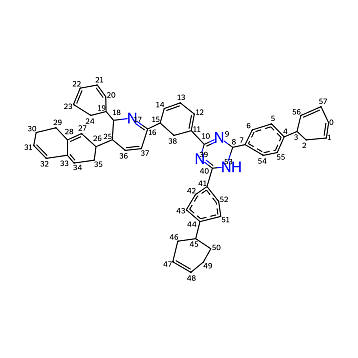 C1=CCC(c2ccc(C3N=C(C4=CC=CC(C5=NC(C6C=CC=CC6)C(C6C=C7CCC=CC7=CC6)C=C5)C4)N=C(c4ccc(C5CC=CCC5)cc4)N3)cc2)C=C1